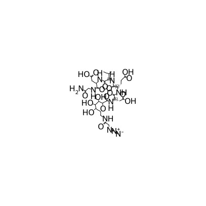 CC(C)[C@H](NC(=O)[C@H](CCC(=O)O)NC(=O)[C@H](CC(=O)O)NC(=O)C1OC(CNC(=O)CN=[N+]=[N-])C(O)C(O)C1O)C(=O)NC(CC(=O)O)C(=O)NCC(N)=O